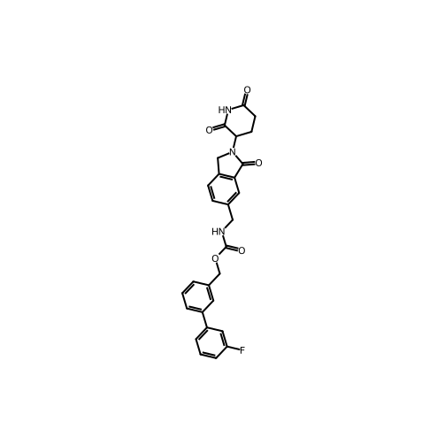 O=C1CCC(N2Cc3ccc(CNC(=O)OCc4cccc(-c5cccc(F)c5)c4)cc3C2=O)C(=O)N1